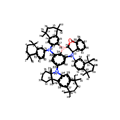 CC1(C)CCC(C)(C)c2cc(N3c4cc5c(cc4B4c6c3cc(N3c7cc8c(cc7C7(C)CCCCC37C)C(C)(C)CCC8(C)C)cc6N(c3ccc6c(c3)C(C)(C)CCC6(C)C)C3c6ccccc6OC43)C(C)(C)CCC5(C)C)ccc21